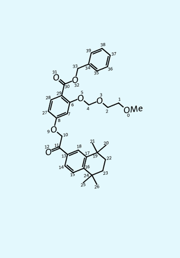 COCCOCOc1cc(OCC(=O)c2ccc3c(c2)C(C)(C)CCC3(C)C)ccc1C(=O)OCc1ccccc1